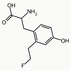 NC(Cc1ccc(O)cc1CCF)C(=O)O